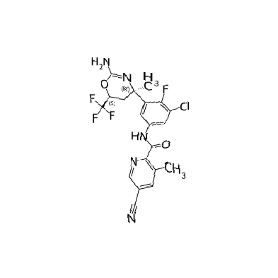 Cc1cc(C#N)cnc1C(=O)Nc1cc(Cl)c(F)c([C@@]2(C)C[C@@H](C(F)(F)F)OC(N)=N2)c1